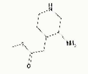 CSC(=O)CC1CCNCC1N